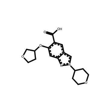 O=C(O)c1cc2cn(C3CCOCC3)nc2cc1OC1CCOC1